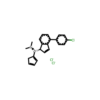 C[Si](C)=[Zr+2]([C]1=CC=CC1)[CH]1C=Cc2c(-c3ccc(Cl)cc3)cccc21.[Cl-].[Cl-]